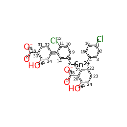 Clc1ccc([CH2][Sn+2][CH2]c2ccc(Cl)cc2)cc1.O=C([O-])c1ccccc1O.O=C([O-])c1ccccc1O